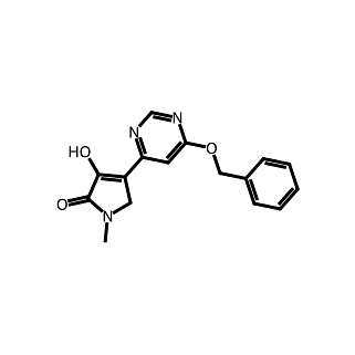 CN1CC(c2cc(OCc3ccccc3)ncn2)=C(O)C1=O